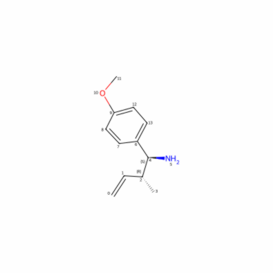 C=C[C@@H](C)[C@H](N)c1ccc(OC)cc1